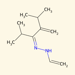 C=CN/N=C(\C(=C)C(C)C)C(C)C